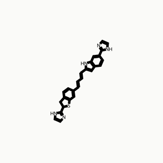 C(/C=C/c1cc2ccc(-c3ncc[nH]3)cc2[nH]1)=C\c1ccc2c(c1)SC(c1ncc[nH]1)C2